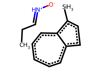 CCC=[NH+][O-].[SiH3]c1ccc2cccccc1-2